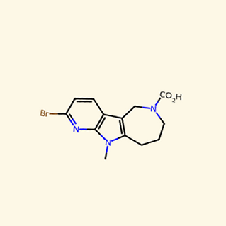 Cn1c2c(c3ccc(Br)nc31)CN(C(=O)O)CCC2